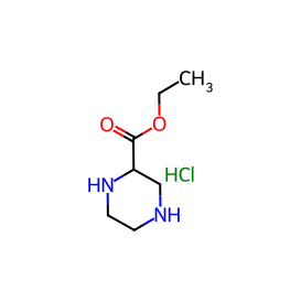 CCOC(=O)C1CNCCN1.Cl